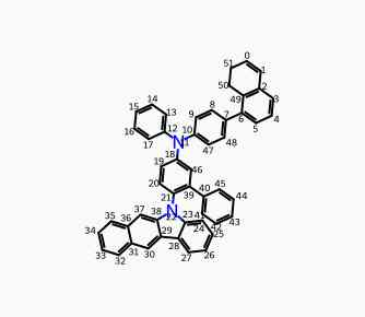 C1=Cc2cccc(-c3ccc(N(c4ccccc4)c4ccc(-n5c6ccccc6c6cc7ccccc7cc65)c(-c5ccccc5)c4)cc3)c2CC1